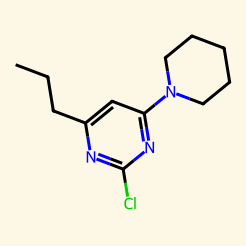 CCCc1cc(N2CCCCC2)nc(Cl)n1